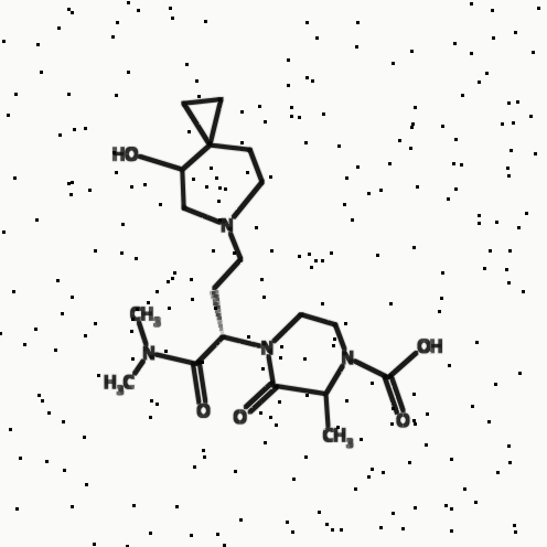 CC1C(=O)N([C@@H](CCN2CCC3(CC3)C(O)C2)C(=O)N(C)C)CCN1C(=O)O